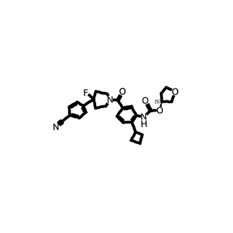 N#Cc1ccc(C2(F)CCN(C(=O)c3ccc(C4CCC4)c(NC(=O)O[C@H]4CCOC4)c3)CC2)cc1